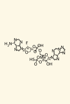 COP(=O)(S)O[C@H]1[C@@H](O)[C@H](n2cnc3c2ncn2ncnc32)O[C@@H]1COP(=O)(O)O[C@@H]1CO[C@@H](n2cnc3c(N)ncnc32)[C@@H]1F